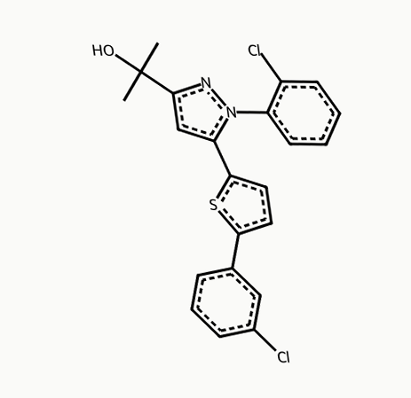 CC(C)(O)c1cc(-c2ccc(-c3cccc(Cl)c3)s2)n(-c2ccccc2Cl)n1